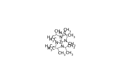 CC[N](C)[Zr]([N](C)CC)([N](C(C)C)C(C)C)[N](C(C)C)C(C)C